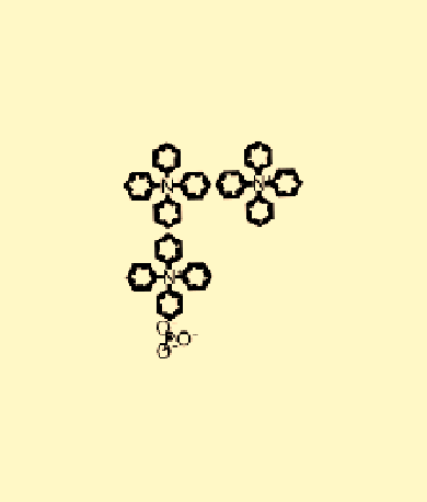 [O-]P([O-])[O-].c1ccc([N+](c2ccccc2)(c2ccccc2)c2ccccc2)cc1.c1ccc([N+](c2ccccc2)(c2ccccc2)c2ccccc2)cc1.c1ccc([N+](c2ccccc2)(c2ccccc2)c2ccccc2)cc1